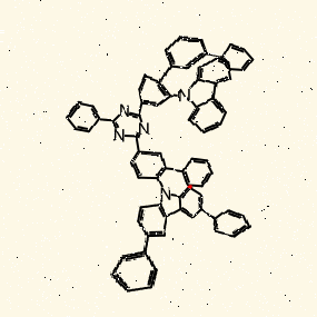 c1ccc(-c2cccc(-c3ccc(-c4nc(-c5ccccc5)nc(-c5ccc(-n6c7ccc(-c8ccccc8)cc7c7cc(-c8ccccc8)ccc76)c(-c6ccccc6)c5)n4)cc3-n3c4ccccc4c4ccccc43)c2)cc1